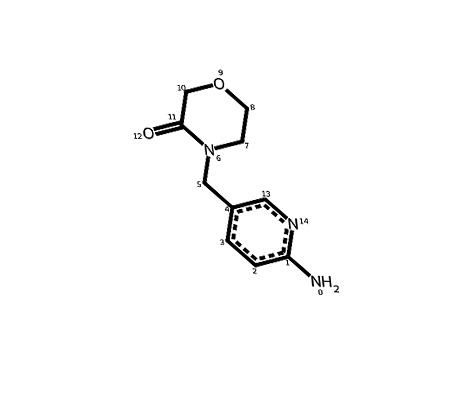 Nc1ccc(CN2CCOCC2=O)cn1